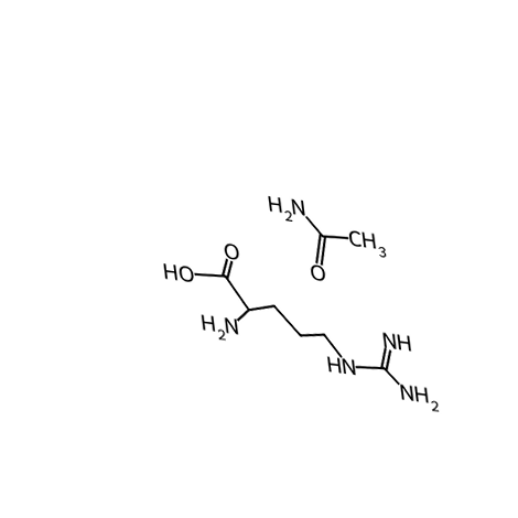 CC(N)=O.N=C(N)NCCCC(N)C(=O)O